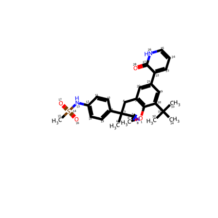 COc1c(CC(C)(C#N)c2ccc(NS(C)(=O)=O)cc2)cc(-c2ccc[nH]c2=O)cc1C(C)(C)C